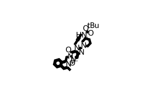 CC#CCn1c(N2CCC[C@@H](NC(=O)OC(C)(C)C)C2)nc2cnn(Cc3c4ccccc4cc(C)[n+]3[O-])c(=O)c21